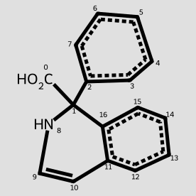 O=C(O)C1(c2ccccc2)NC=Cc2ccccc21